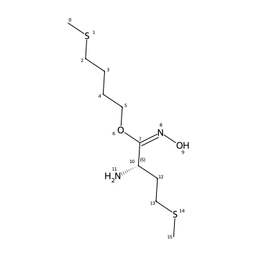 CSCCCCOC(=NO)[C@@H](N)CCSC